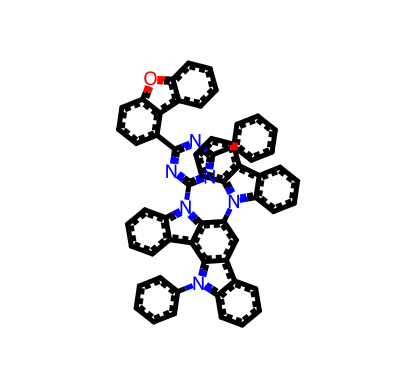 c1ccc(-c2nc(-c3cccc4oc5ccccc5c34)nc(-n3c4ccccc4c4c3c(-n3c5ccccc5c5ccccc53)cc3c5ccccc5n(-c5ccccc5)c34)n2)cc1